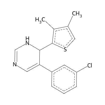 Cc1csc(C2NC=NC=C2c2cccc(Cl)c2)c1C